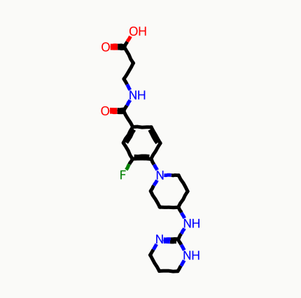 O=C(O)CCNC(=O)c1ccc(N2CCC(NC3=NCCCN3)CC2)c(F)c1